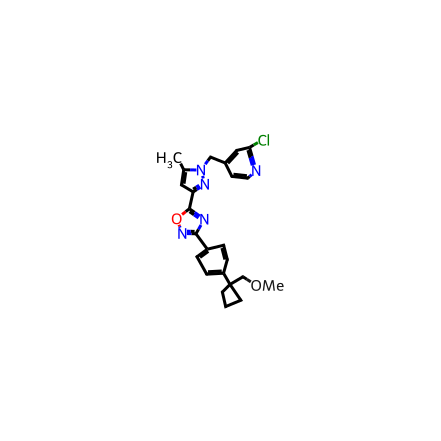 COCC1(c2ccc(-c3noc(-c4cc(C)n(Cc5ccnc(Cl)c5)n4)n3)cc2)CCC1